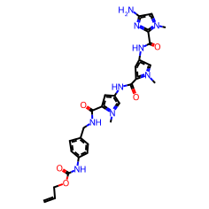 C=CCOC(=O)Nc1ccc(CNC(=O)c2cc(NC(=O)c3cc(NC(=O)c4nc(N)cn4C)cn3C)cn2C)cc1